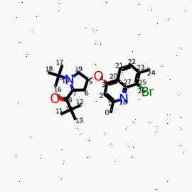 Cc1cc(O[C@@H]2CC(C(=O)C(C)(C)C)N(C(C)(C)C)C2)c2ccc(C)c(Br)c2n1